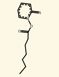 CCCCCCC(=O)On1ccccc1=S